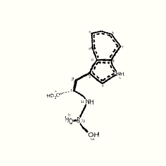 O=C(O)[C@H](Cc1c[nH]c2ccccc12)NB(O)O